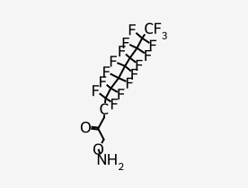 NOCC(=O)CCC(F)(F)C(F)(F)C(F)(F)C(F)(F)C(F)(F)C(F)(F)C(F)(F)C(F)(F)F